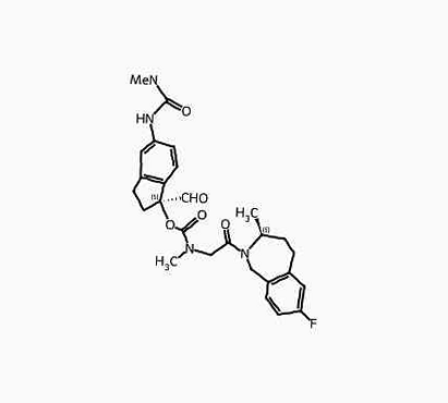 CNC(=O)Nc1ccc2c(c1)CC[C@]2(C=O)OC(=O)N(C)CC(=O)N1Cc2ccc(F)cc2CC[C@@H]1C